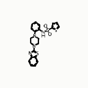 O=S(=O)(Nc1ccccc1N1CCN(c2nc3ccccc3s2)CC1)c1cccs1